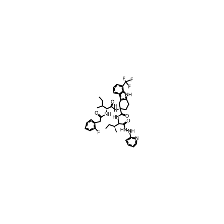 CCC(C)[C@H](NC(=O)Cc1ccccc1F)C(=O)N[C@]1(C(=O)NC(C(=O)NNc2ccccn2)[C@@H](C)CC)CCc2[nH]c3c(C(F)(F)F)cccc3c2C1